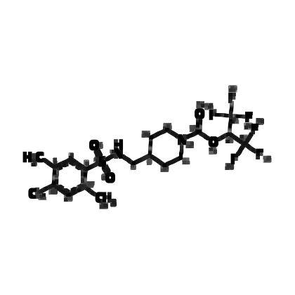 Cc1cc(S(=O)(=O)NCC2CCN(C(=O)OC(C(F)(F)F)C(F)(F)F)CC2)c(C)cc1Cl